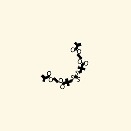 C=C(C)C(=O)OCCOC(=O)C(C)(C)CSC(=S)SCC(C)(C)C(=O)OCCOC(=O)C(=C)C